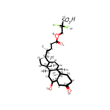 C[C@H](CCC(=O)OCC(F)(F)S(=O)(=O)O)[C@H]1CC[C@H]2[C@@H]3CC(=O)C4CC(=O)CC[C@]4(C)[C@H]3CC[C@]12C